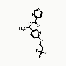 CC(NC(=O)c1ccncn1)c1ccc(OCCC(F)(F)F)nc1